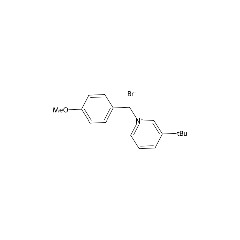 COc1ccc(C[n+]2cccc(C(C)(C)C)c2)cc1.[Br-]